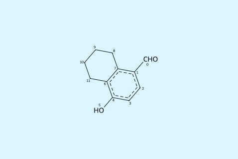 O=Cc1ccc(O)c2c1CCCC2